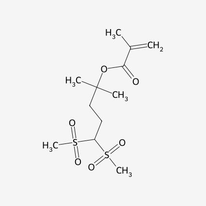 C=C(C)C(=O)OC(C)(C)CCC(S(C)(=O)=O)S(C)(=O)=O